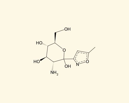 Cc1cc(C2(O)O[C@H](CO)[C@@H](O)[C@H](O)[C@H]2N)no1